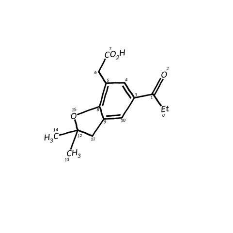 CCC(=O)c1cc(CC(=O)O)c2c(c1)CC(C)(C)O2